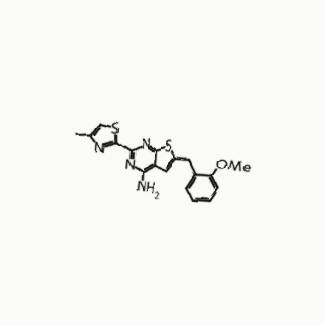 COc1ccccc1Cc1cc2c(N)nc(-c3nc(C)cs3)nc2s1